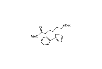 CCCCCCCCCCCCCCCC(=O)OC.c1ccc(-c2ccccc2)cc1